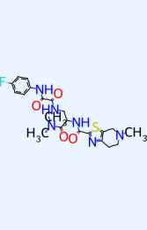 CN1CCc2nc(C(=O)NC(CNC(=O)C(=O)Nc3ccc(F)cc3)C(=O)N(C)C)sc2C1